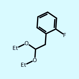 CCOC(Cc1ccccc1F)OCC